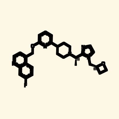 C[C@@H](c1nccn1C[C@@H]1CCO1)N1CCC(c2cccc(OCc3ccnc4cc(F)ccc34)n2)CC1